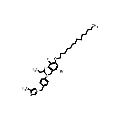 CCCCCCCCCCCCCCOc1ccc(CN(C(=O)CC)c2ccc(C[n+]3csc(C)c3)cc2)cc1F.[Br-]